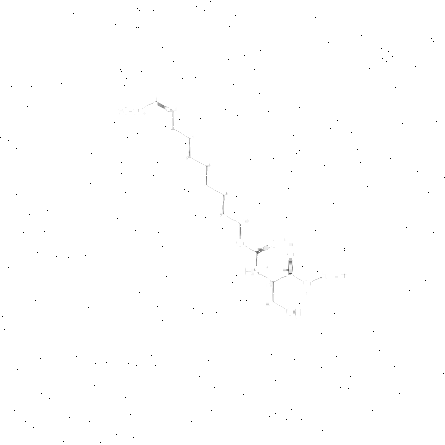 CCCCCCCC/C=C\CCCCCCCCOC(=O)NC(CO)C(=O)OCCCCCCCC